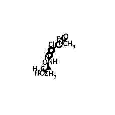 CC(C)(O)C1CC1C(=O)Nc1cc2cc(C3CCN(C4(C)COCC4F)CC3)c(Cl)cc2cn1